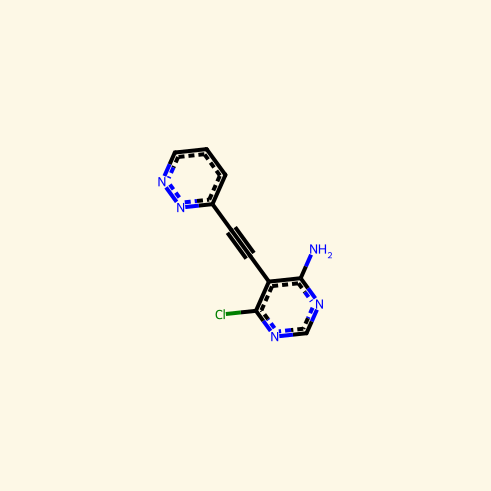 Nc1ncnc(Cl)c1C#Cc1cccnn1